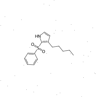 CCCCCc1cc[nH]c1S(=O)(=O)c1ccccc1